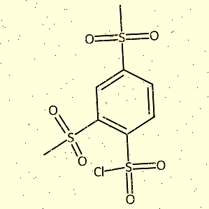 CS(=O)(=O)c1ccc(S(=O)(=O)Cl)c(S(C)(=O)=O)c1